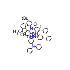 Cc1cc(C(C)(C)C)ccc1N1c2ccc(-c3ccccc3)cc2Bc2c(-c3ccc(N(c4ccccc4)c4ccccc4)cc3Nc3ccc(-c4ccccc4)cc3)cc3c(c21)-c1ccccc1C3(C)C